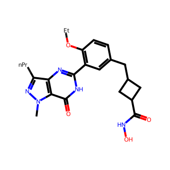 CCCc1nn(C)c2c(=O)[nH]c(-c3cc(CC4CC(C(=O)NO)C4)ccc3OCC)nc12